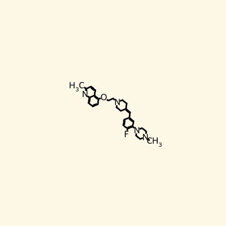 Cc1ccc2c(OCCN3CCC(=Cc4ccc(F)c(N5CCN(C)CC5)c4)CC3)cccc2n1